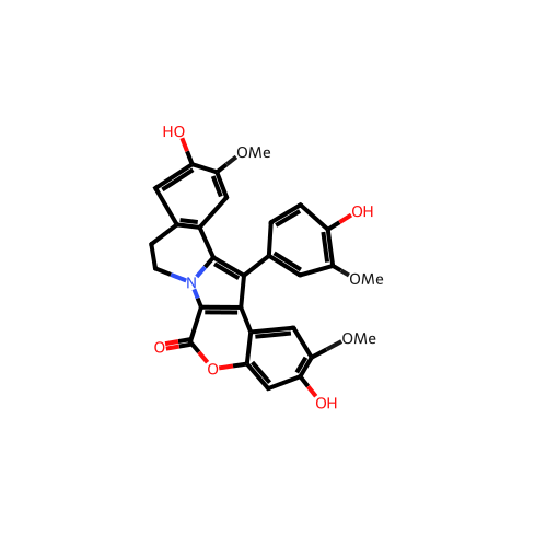 COc1cc(-c2c3n(c4c(=O)oc5cc(O)c(OC)cc5c24)CCc2cc(O)c(OC)cc2-3)ccc1O